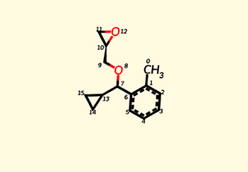 Cc1ccccc1C(OC[C@H]1CO1)C1CC1